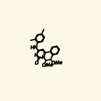 COC1c2ccccc2-c2cc(Nc3ccc(C)cc3C)nc(=O)n2C1OC